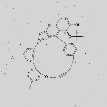 Cc1nc2cc3nn2c(c1[C@H](OC(C)(C)C)C(=O)O)-c1ccc(cc1)OCC#CCOc1cc(F)ccc1-c1cccc-3c1